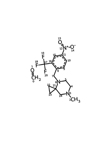 C=O.CN1CCN(Cc2ccc([N+](=O)[O-])cc2C(F)(F)F)C2(CC2)C1